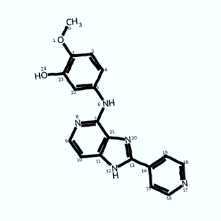 COc1ccc(Nc2nccc3[nH]c(-c4ccncc4)nc23)cc1O